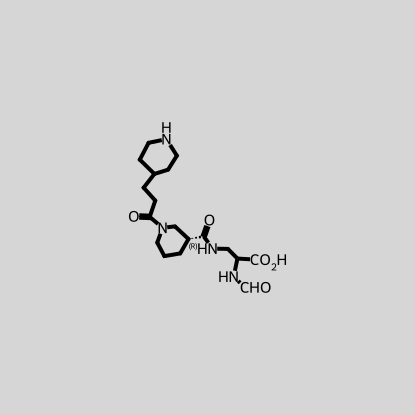 O=CNC(CNC(=O)[C@@H]1CCCN(C(=O)CCC2CCNCC2)C1)C(=O)O